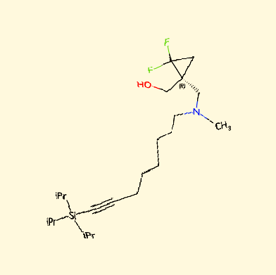 CC(C)[Si](C#CCCCCCCN(C)C[C@@]1(CO)CC1(F)F)(C(C)C)C(C)C